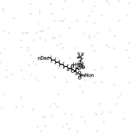 CCCCCCCCCCCCCCCCCCCCC(=O)O[C@H](COC(=O)CCCCCCCCC)COP(=O)(O)OCC[N+](C)(C)C